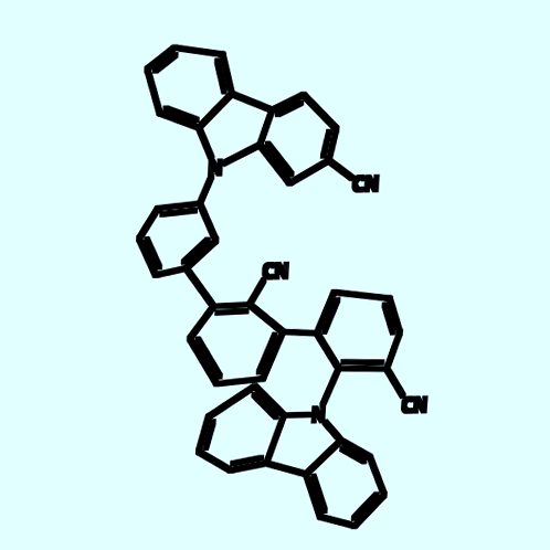 N#Cc1ccc2c3ccccc3n(-c3cccc(-c4cccc(-c5cccc(C#N)c5-n5c6ccccc6c6ccccc65)c4C#N)c3)c2c1